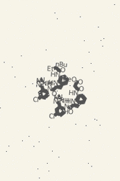 CCCCC(CC)C(=O)Nc1cccc2cc(C(=O)Nc3ccc(Cl)cc3-c3nnn[nH]3)[nH]c12.COC(=O)CC(=O)Nc1cccc2cc(C(=O)Nc3ccc(Cl)cc3-c3nnn[nH]3)[nH]c12